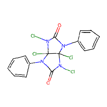 O=C1N(Cl)C2(Cl)N(c3ccccc3)C(=O)N(Cl)C2(Cl)N1c1ccccc1